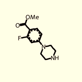 COC(=O)c1ccc(N2CCNCC2)cc1F